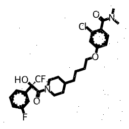 CN(C)C(=O)c1ccc(OCCCCC2CCN(C(=O)[C@](O)(c3cccc(F)c3)C(F)(F)F)CC2)cc1Cl